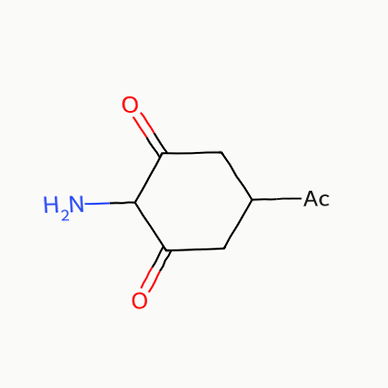 CC(=O)C1CC(=O)C(N)C(=O)C1